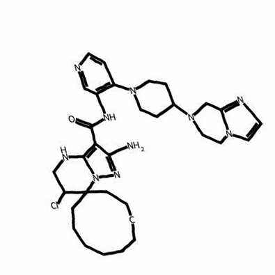 Nc1nn2c(c1C(=O)Nc1cnccc1N1CCC(N3CCn4ccnc4C3)CC1)NCC(Cl)C21CCCCCCCCC1